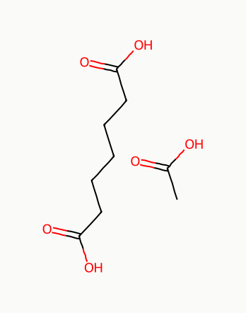 CC(=O)O.O=C(O)CCCCCC(=O)O